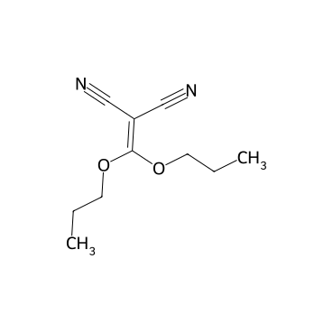 CCCOC(OCCC)=C(C#N)C#N